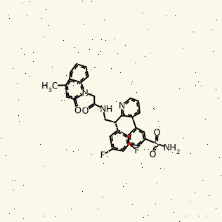 Cc1cc(=O)n(CC(=O)NCC(c2cc(F)cc(F)c2)c2ncccc2-c2cccc(S(N)(=O)=O)c2)c2ccccc12